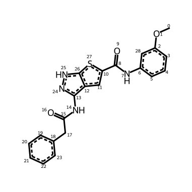 COc1cccc(NC(=O)c2cc3c(NC(=O)Cc4ccccc4)n[nH]c3s2)c1